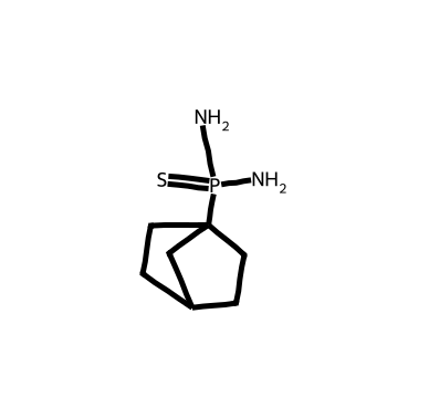 NP(N)(=S)C12CCC(CC1)C2